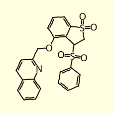 O=S1(=O)CC(S(=O)(=O)c2ccccc2)c2c(OCc3ccc4ccccc4n3)cccc21